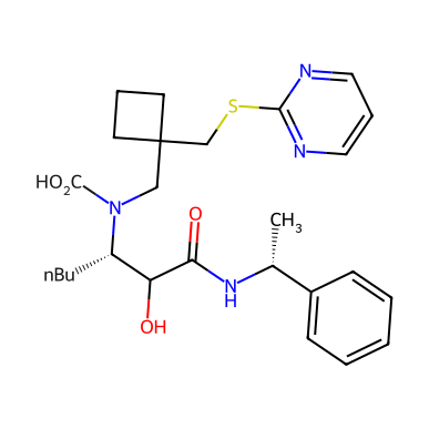 CCCC[C@@H](C(O)C(=O)N[C@H](C)c1ccccc1)N(CC1(CSc2ncccn2)CCC1)C(=O)O